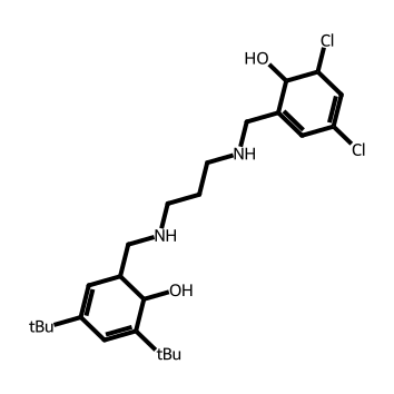 CC(C)(C)C1=CC(CNCCCNCC2=CC(Cl)=CC(Cl)C2O)C(O)C(C(C)(C)C)=C1